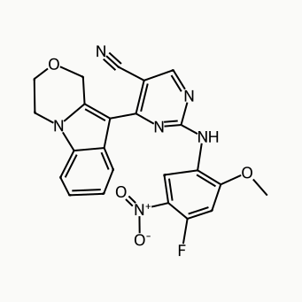 COc1cc(F)c([N+](=O)[O-])cc1Nc1ncc(C#N)c(-c2c3n(c4ccccc24)CCOC3)n1